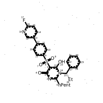 CCCCCc1nc(=O)c(S(=O)(=O)c2ccc(-c3ccc(F)nc3)cc2)c(O)n1[C@@H](CC)c1ccccc1